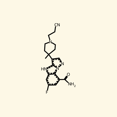 CC1(c2cnn3c2[nH]c2cc(F)cc(C(N)=O)c23)CCN(CCC#N)CC1